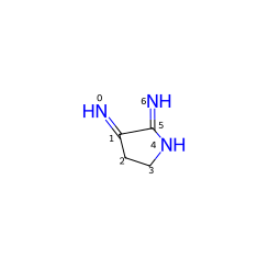 N=C1CCNC1=N